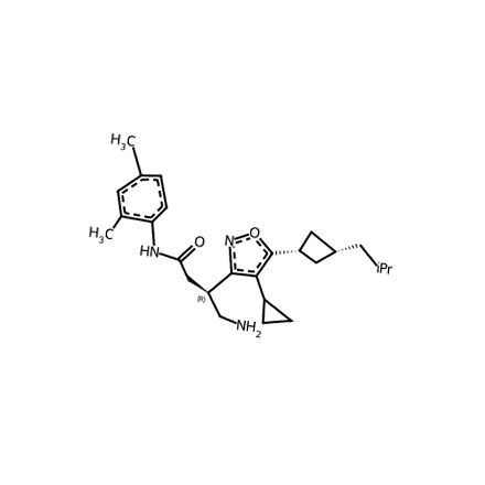 Cc1ccc(NC(=O)C[C@H](CN)c2noc([C@H]3C[C@@H](CC(C)C)C3)c2C2CC2)c(C)c1